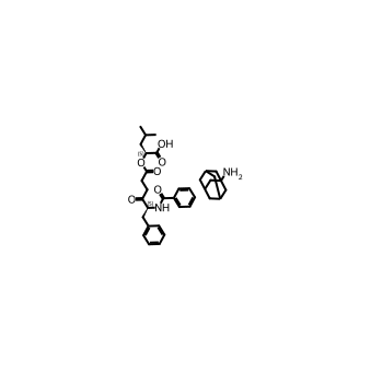 CC(C)C[C@H](OC(=O)CCC(=O)[C@H](Cc1ccccc1)NC(=O)c1ccccc1)C(=O)O.NC12CC3CC(CC(C3)C1)C2